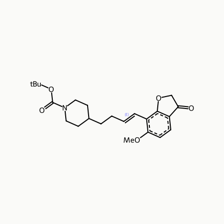 COc1ccc2c(c1/C=C/CCC1CCN(C(=O)OC(C)(C)C)CC1)OCC2=O